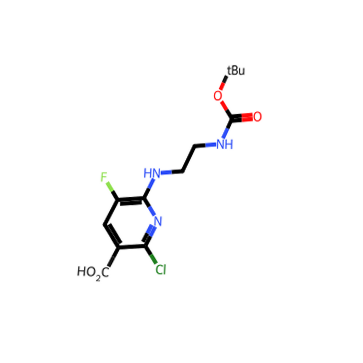 CC(C)(C)OC(=O)NCCNc1nc(Cl)c(C(=O)O)cc1F